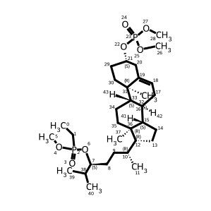 CCP(=O)(OC)O[C@@H](CC[C@@H](C)[C@H]1CC[C@H]2[C@@H]3CC=C4C[C@@H](OP(=O)(OC)OC)CC[C@]4(C)[C@H]3CC[C@]12C)C(C)C